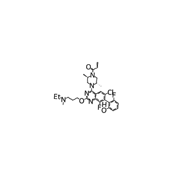 C=CC(=O)N1C[C@H](C)N(c2nc(OCCCN(C)CC)nc3c(F)c(-c4c(O)cccc4F)c(Cl)cc23)C[C@H]1C